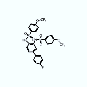 O=S(=O)(Nc1ccc(-c2ccc(F)cc2)cc1NS(=O)(=O)c1ccc(OC(F)(F)F)cc1)c1ccc(OC(F)(F)F)cc1